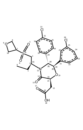 CC[C@@H](CS(=O)(=O)C1COC1)N1C(=O)[C@H](CC(=O)O)O[C@H](c2cccc(Cl)c2)[C@H]1c1ccc(Cl)cc1